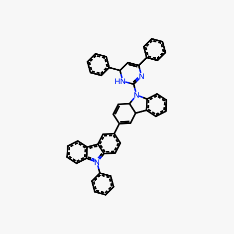 C1=CC2C(C=C1c1ccc3c(c1)c1ccccc1n3-c1ccccc1)c1ccccc1N2C1=NC(c2ccccc2)=CC(c2ccccc2)N1